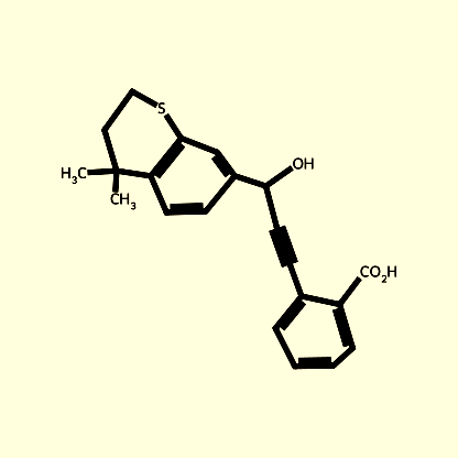 CC1(C)CCSc2cc(C(O)C#Cc3ccccc3C(=O)O)ccc21